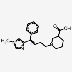 Cn1cnc(/C(=C/CCN2CCCC(C(=O)O)C2)c2ccccc2)c1